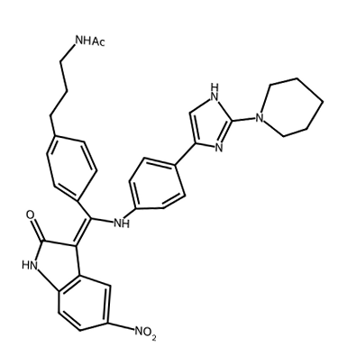 CC(=O)NCCCc1ccc(C(Nc2ccc(-c3c[nH]c(N4CCCCC4)n3)cc2)=C2C(=O)Nc3ccc([N+](=O)[O-])cc32)cc1